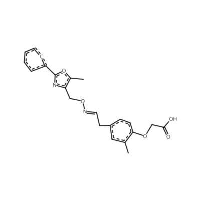 Cc1cc(CC=NOCc2nc(-c3ccccc3)oc2C)ccc1OCC(=O)O